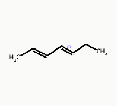 CC=C/C=[C]/CC